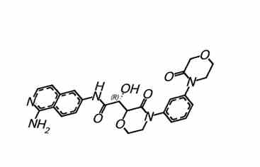 Nc1nccc2cc(NC(=O)[C@H](O)C3OCCN(c4cccc(N5CCOCC5=O)c4)C3=O)ccc12